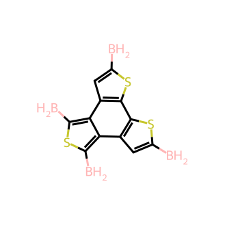 Bc1cc2c(s1)c1sc(B)cc1c1c(B)sc(B)c21